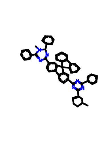 CC1CCC=C(c2nc(-c3ccccc3)nc(-c3ccc4c(c3)C3(c5ccccc5-c5ccccc53)c3cc(C5=NC(c6ccccc6)N(C)C(c6ccccc6)=N5)ccc3-4)n2)C1